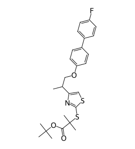 CC(COc1ccc(-c2ccc(F)cc2)cc1)c1csc(SC(C)(C)C(=O)OC(C)(C)C)n1